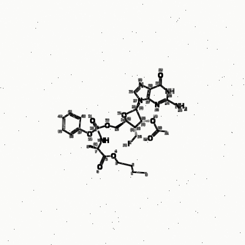 CCCCOC(=O)[C@@H](C)NP(=O)(OC[C@H]1O[C@@H](n2cnc3c(=O)[nH]c(N)nc32)[C@H](OC(C)=O)[C@@H]1CF)Oc1ccccc1